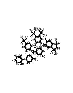 Cc1cc2c3c(c1)N(c1cc4c(cc1C)C(C)(C)CC4(C)C)c1cc4c(cc1B3c1cc(C(C)(C)C)ccc1N2c1cc(-c2ccccc2)ccc1C)C(C)(C)CCC4(C)C